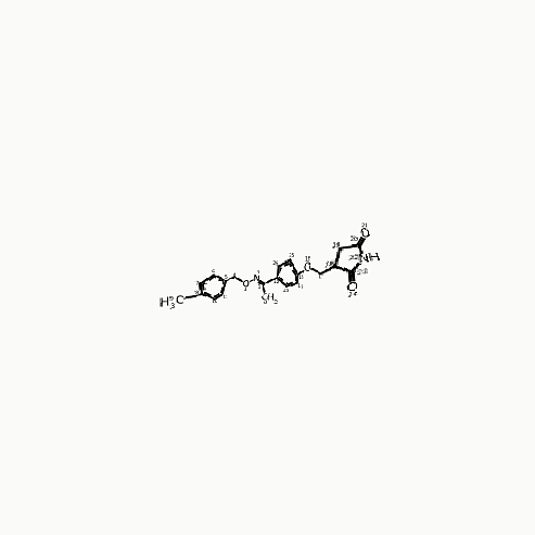 C/C(=N\OCc1ccc(C)cc1)c1ccc(OCC2CC(=O)NC2=O)cc1